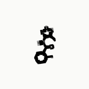 Cc1ccccc1C(=O)Nc1nonc1C